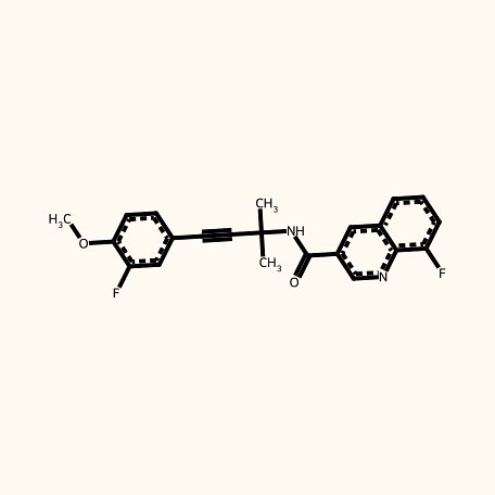 COc1ccc(C#CC(C)(C)NC(=O)c2cnc3c(F)cccc3c2)cc1F